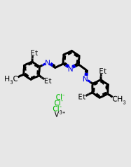 CCc1cc(C)cc(CC)c1N=Cc1cccc(C=Nc2c(CC)cc(C)cc2CC)n1.[Cl-].[Cl-].[Cl-].[V+3]